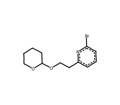 Brc1cccc(CCOC2CCCCO2)n1